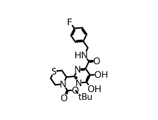 CC(C)(C)OC(=O)N1CCSCC1c1nc(O)c(O)c(C(=O)NCc2ccc(F)cc2)n1